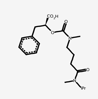 CC(C)N(C)C(=O)CCCN(C)C(=O)O[C@@H](Cc1ccccc1)C(=O)O